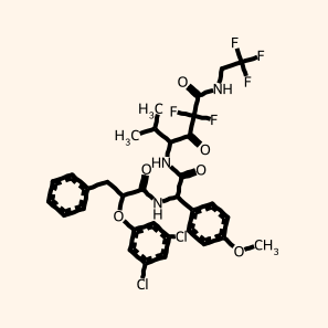 COc1ccc(C(NC(=O)C(Cc2ccccc2)Oc2cc(Cl)cc(Cl)c2)C(=O)NC(C(=O)C(F)(F)C(=O)NCC(F)(F)F)C(C)C)cc1